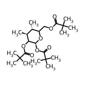 C[C@@H]1C(COC(=O)C(C)(C)C)O[C@@H](OC(=O)C(C)(C)C)C(OC(=O)C(C)(C)C)[C@H]1C